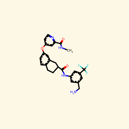 CNC(=O)c1cc(Oc2ccc3c(c2)CC(C(=O)Nc2cc(CN)cc(C(F)(F)F)c2)CC3)ccn1